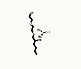 CCCCC(O)COCCOCCO.OB(O)O